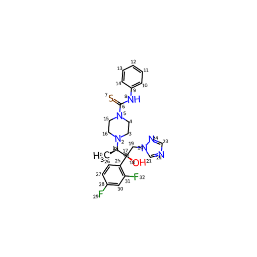 C[C@@H](N1CCN(C(=S)Nc2ccccc2)CC1)[C@](O)(Cn1cncn1)c1ccc(F)cc1F